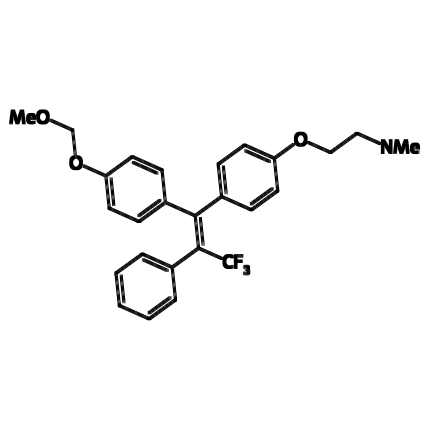 CNCCOc1ccc(/C(=C(/c2ccccc2)C(F)(F)F)c2ccc(OCOC)cc2)cc1